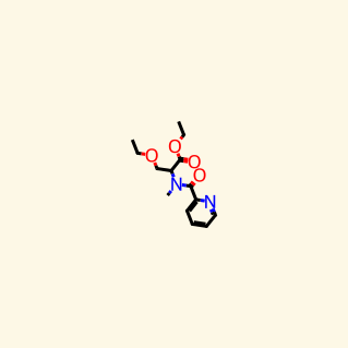 CCOCC(C(=O)OCC)N(C)C(=O)c1ccccn1